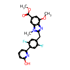 COC(=O)c1cc(OC)c2nc(Cc3cc(F)c(-c4cccc(O)n4)cc3F)n(C)c2c1